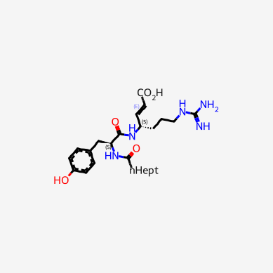 CCCCCCCC(=O)N[C@@H](Cc1ccc(O)cc1)C(=O)N[C@H](/C=C/C(=O)O)CCCNC(=N)N